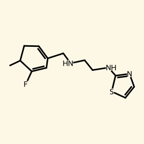 CC1CC=C(CNCCNc2nccs2)C=C1F